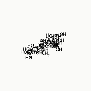 CC(=O)N[C@H]1[C@H](O[C@H]2[C@@H](O)[C@@H](CO)O[C@@H](O[C@H]3[C@H](O)[C@@H](O)[C@H](O)O[C@@H]3CO)[C@@H]2O)O[C@H](CO)[C@@H](O[C@@H]2O[C@H](CO)[C@H](O)[C@H](O[C@]3(C(=O)O)C[C@H](O)[C@@H](NC(=O)CO)[C@H]([C@H](O)[C@H](O)CO)O3)[C@H]2O)[C@@H]1O